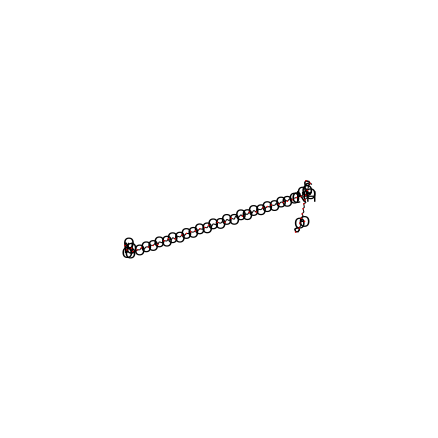 O=C(CCCCCCC/C=C/C[C@H](C(=O)NCCOCCOCCOCCOCCOCCOCCOCCOCCOCCOCCOCCOCCOCCOCCOCCOCCOCCOCCOCCOCCOCCOCCOCCOCCC(=O)ON1C(=O)CCC1=O)C(=O)OCc1ccccc1)OCc1ccccc1